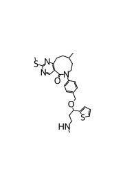 CNCCC(OCc1ccc(N2CCC(C)CCc3nc(SC)ncc3C2=O)cc1)c1cccs1